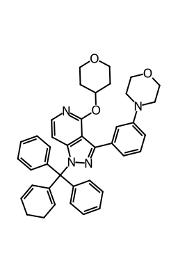 C1=CC(C(c2ccccc2)(c2ccccc2)n2nc(-c3cccc(N4CCOCC4)c3)c3c(OC4CCOCC4)nccc32)=CCC1